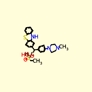 CC(c1ccc(N2CCN(C)CC2)cc1)c1ccc2c(c1)Nc1ccccc1S2.CCS(=O)(=O)O